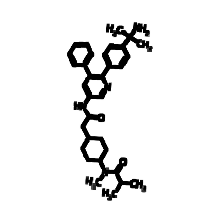 CC(C)C(=O)N(C)C1CCC(CC(=O)Nc2cnc(-c3ccc(C(C)(C)N)cc3)c(-c3ccccc3)c2)CC1